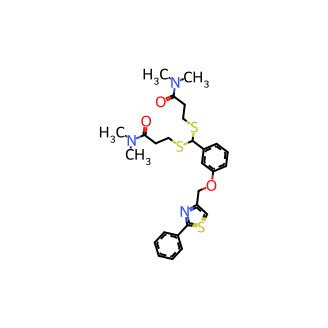 CN(C)C(=O)CCSC(SCCC(=O)N(C)C)c1cccc(OCc2csc(-c3ccccc3)n2)c1